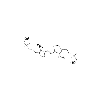 CC(C)(CO)CCCC1CCC(C=CC2CCC(CCCC(C)(C)CO)C2O)C1O